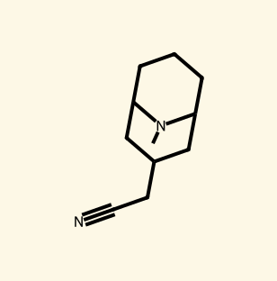 CN1C2CCCC1CC(CC#N)C2